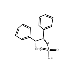 CCCCS(=O)(=O)N[C@H](c1ccccc1)[C@H](N)c1ccccc1